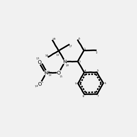 CC(C)C(c1ccccc1)N(O[N+](=O)[O-])C(C)(C)C